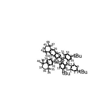 Cc1cc(C(C)(C)C)ccc1N1c2cc(C(C)(C)C)ccc2B(c2sc3cc4c(cc3c2Nc2ccc3c(c2)C(C)(C)CCC3(C)C)C(C)(C)CCC4(C)C)c2c(C)cc(C(C)(C)C)cc21